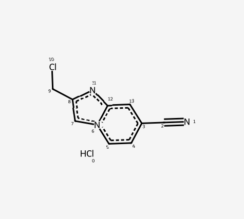 Cl.N#Cc1ccn2cc(CCl)nc2c1